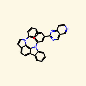 c1ccc(-n2ccc3ccc4c5ccccc5n(-c5cccc(-c6ncc7cnccc7n6)c5)c4c32)cc1